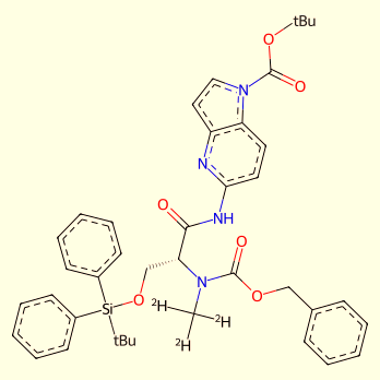 [2H]C([2H])([2H])N(C(=O)OCc1ccccc1)[C@H](CO[Si](c1ccccc1)(c1ccccc1)C(C)(C)C)C(=O)Nc1ccc2c(ccn2C(=O)OC(C)(C)C)n1